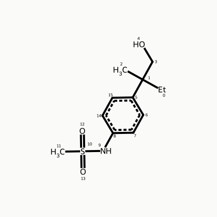 CCC(C)(CO)c1ccc(NS(C)(=O)=O)cc1